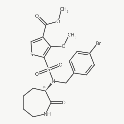 COC(=O)c1csc(S(=O)(=O)N(Cc2ccc(Br)cc2)[C@@H]2CCCCNC2=O)c1OC